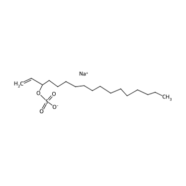 C=CC(CCCCCCCCCCCCCC)OS(=O)(=O)[O-].[Na+]